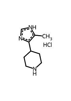 Cc1[nH]cnc1C1CCNCC1.Cl